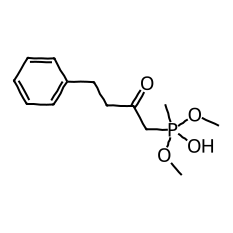 COP(C)(O)(CC(=O)CCc1ccccc1)OC